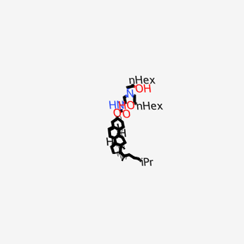 CCCCCCC(O)CN(CCNC(=O)O[C@H]1CC[C@@]2(C)C(=CCC3[C@@H]4CC[C@H]([C@H](C)CCCC(C)C)[C@@]4(C)CC[C@@H]32)C1)CC(O)CCCCCC